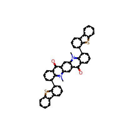 Cn1c2cc3c(=O)c4cccc(-c5cccc6c5sc5ccccc56)c4n(C)c3cc2c(=O)c2cccc(-c3cccc4c3sc3ccccc34)c21